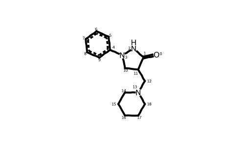 O=C1NN(c2ccccc2)CC1CN1CCCCC1